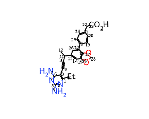 CCc1nc(N)nc(N)c1C#CC(C)c1cc2c(c(-c3ccc(CC(=O)O)cc3)c1)OCO2